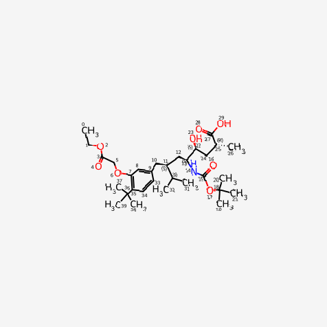 CCOC(=O)COc1cc(C[C@@H](C[C@H](NC(=O)OC(C)(C)C)[C@@H](O)C[C@@H](C)C(=O)O)C(C)C)ccc1C(C)(C)C